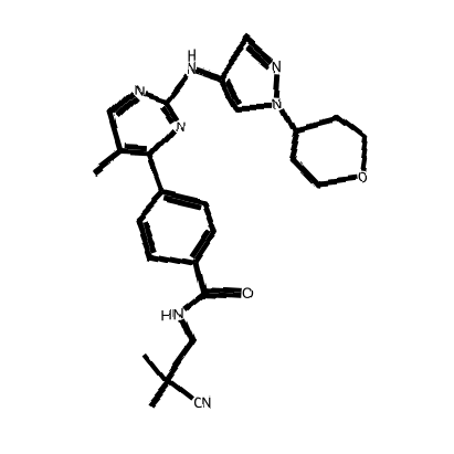 Cc1cnc(Nc2cnn(C3CCOCC3)c2)nc1-c1ccc(C(=O)NCC(C)(C)C#N)cc1